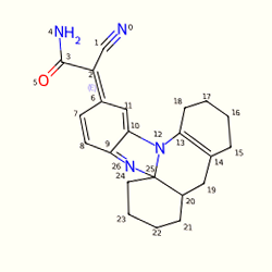 N#C/C(C(N)=O)=c1/ccc2c(c1)N1C3=C(CCCC3)CC3CCCCC31N=2